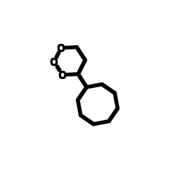 C1CCCC(C2CCOOO2)CCC1